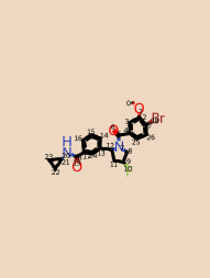 COc1cc(C(=O)N2CC(F)CC2c2cccc(C(=O)NC3CC3)c2)ccc1Br